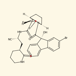 N#C[C@@H](C[C@@H]1CCCNC1=O)NC(=O)[C@@H]1[C@H]2CC[C@H](CC2(F)F)N1C(=O)[C@]1(O)c2ccccc2-c2ccc(Br)cc21